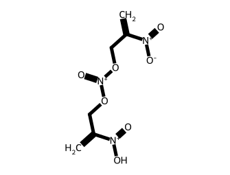 C=C(CO[N+](=O)OCC(=C)[N+](=O)O)[N+](=O)[O-]